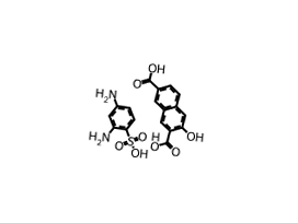 Nc1ccc(S(=O)(=O)O)c(N)c1.O=C(O)c1ccc2cc(O)c(C(=O)O)cc2c1